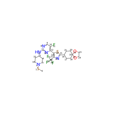 CSN1CCC(Nc2ncc(F)c(-c3sc(C4CCC5(CC4)OCCO5)nc3C(F)(F)F)n2)CC1